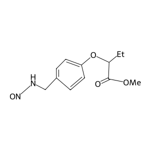 CCC(Oc1ccc(CNN=O)cc1)C(=O)OC